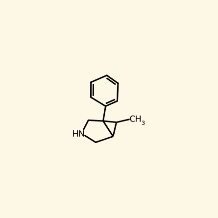 CC1C2CNCC12c1ccccc1